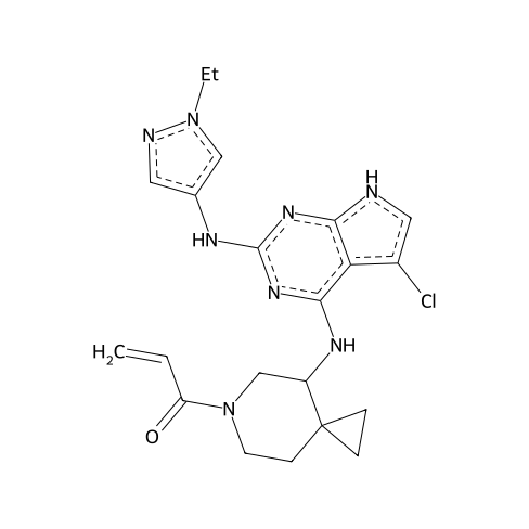 C=CC(=O)N1CCC2(CC2)C(Nc2nc(Nc3cnn(CC)c3)nc3[nH]cc(Cl)c23)C1